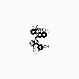 Cc1cccc2cc(Cn3nc(-c4cc(O)cc(F)c4)c4c(N)ncnc43)n(-c3ccccc3C(C)C)c(=O)c12